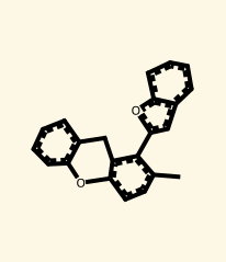 Cc1ccc2c(c1-c1cc3ccccc3o1)Cc1ccccc1O2